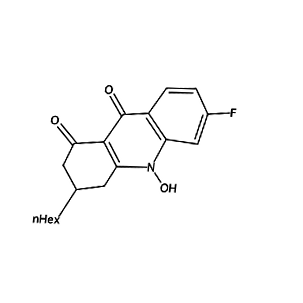 CCCCCCC1CC(=O)c2c(n(O)c3cc(F)ccc3c2=O)C1